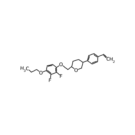 C=Cc1ccc(C2CCC(COc3ccc(OCCC)c(F)c3F)OC2)cc1